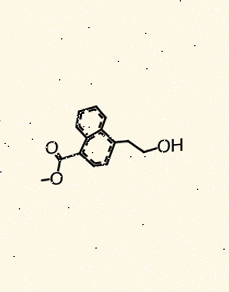 COC(=O)c1ccc(CCO)c2ccccc12